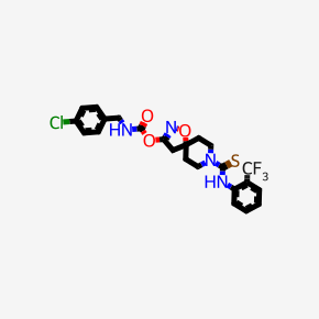 O=C(NCc1ccc(Cl)cc1)OC1=NOC2(CCN(C(=S)Nc3ccccc3C(F)(F)F)CC2)C1